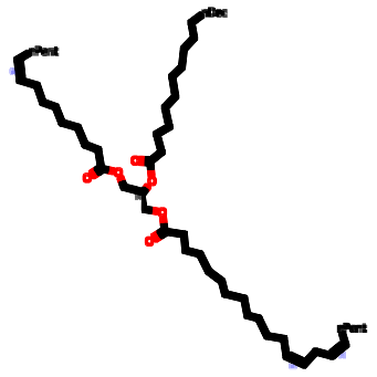 CCCCC/C=C\C/C=C\CCCCCCCCCCCC(=O)OC[C@@H](COC(=O)CCCCCCC/C=C\CCCCC)OC(=O)CCCCCCCCCCCCCCCCCCCC